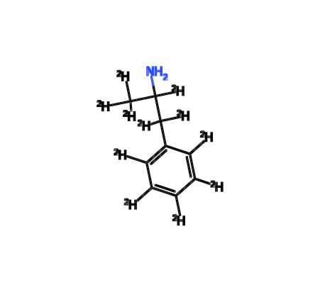 [2H]c1c([2H])c([2H])c(C([2H])([2H])C([2H])(N)C([2H])([2H])[2H])c([2H])c1[2H]